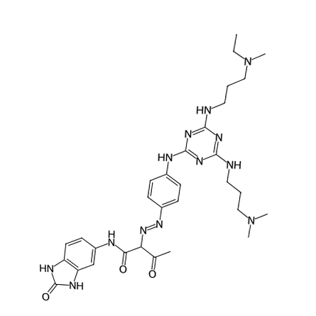 CCN(C)CCCNc1nc(NCCCN(C)C)nc(Nc2ccc(N=NC(C(C)=O)C(=O)Nc3ccc4[nH]c(=O)[nH]c4c3)cc2)n1